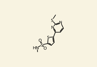 CNS(=O)(=O)c1ccc(-c2ccnc(SC)n2)s1